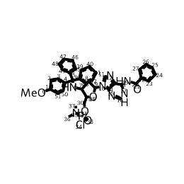 COc1ccc(C(NC2CC(n3cnc4c3N=CNC4NC(=O)c3ccccc3)OC2COP(=O)(Cl)N(C)C)(c2ccccc2)c2ccccc2)cc1